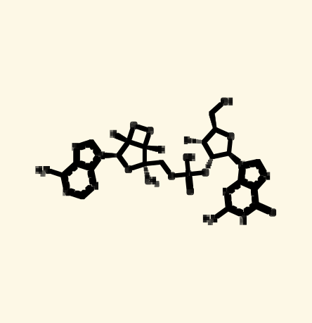 C[C@]1(COP(=O)(O)O[C@@H]2[C@H](F)[C@@H](CO)O[C@H]2n2cnc3c(=O)[nH]c(N)nc32)O[C@@H](n2cnc3c(N)ncnc32)[C@@H]2OO[C@@H]21